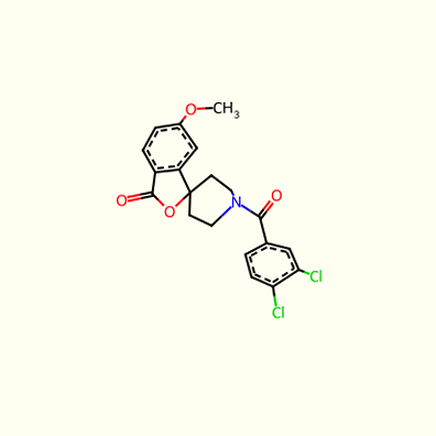 COc1ccc2c(c1)C1(CCN(C(=O)c3ccc(Cl)c(Cl)c3)CC1)OC2=O